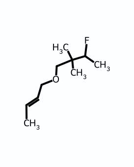 C/C=C/COCC(C)(C)C(C)F